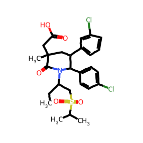 CCC(CS(=O)(=O)C(C)C)N1C(=O)C(C)(CC(=O)O)CC(c2cccc(Cl)c2)C1c1ccc(Cl)cc1